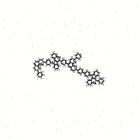 c1ccc(-c2ccc3ccc4ccc(-c5ccc(-n6c7ccccc7c7c(-c8ccc(-c9cc%10ccc(-c%11ccc(-c%12ccc(-n%13c%14ccccc%14c%14c(-c%15ccccc%15)nc%15ccccc%15c%14%13)cc%12)cc%11)nc%10c%10nc(-c%11ccccc%11)ccc9%10)cc8)nc8ccccc8c76)cc5)nc4c3n2)cc1